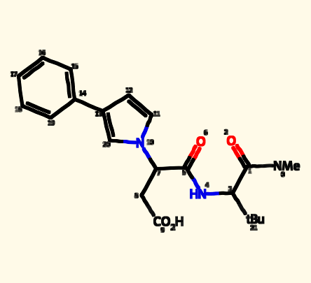 CNC(=O)C(NC(=O)C(CC(=O)O)n1ccc(-c2ccccc2)c1)C(C)(C)C